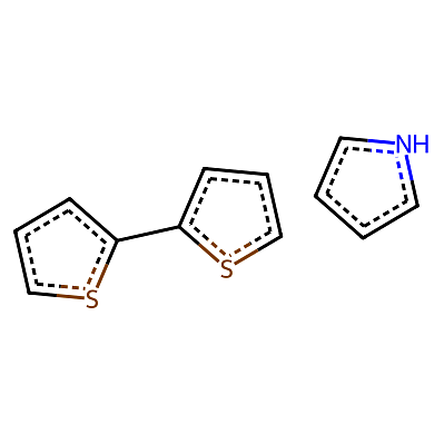 c1cc[nH]c1.c1csc(-c2cccs2)c1